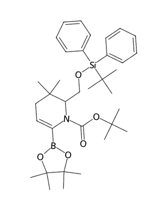 CC(C)(C)OC(=O)N1C(B2OC(C)(C)C(C)(C)O2)=CCC(C)(C)C1CO[Si](c1ccccc1)(c1ccccc1)C(C)(C)C